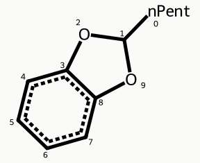 CCCCCC1Oc2ccccc2O1